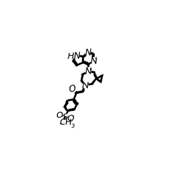 CS(=O)(=O)c1ccc(C(=O)CN2CCN(c3ncnc4[nH]ccc34)CC3(CC3)C2)cc1